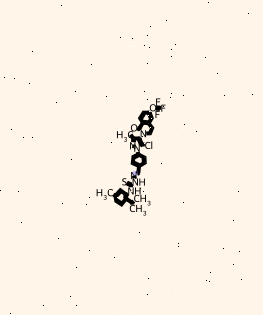 Cc1ccc(C(C)C)c(NC(=S)N/N=C/c2ccc(-n3nc(C)c(N4CCc5cc(OC(F)(F)F)ccc5C4=O)c3Cl)cc2)c1